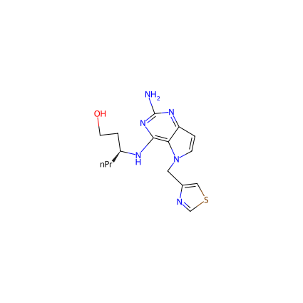 CCC[C@@H](CCO)Nc1nc(N)nc2ccn(Cc3cscn3)c12